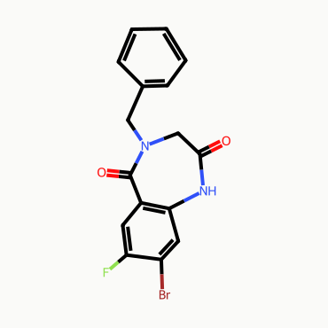 O=C1CN(Cc2ccccc2)C(=O)c2cc(F)c(Br)cc2N1